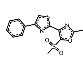 Cc1nc(-c2nc(-c3ccccc3)cs2)c(S(C)(=O)=O)o1